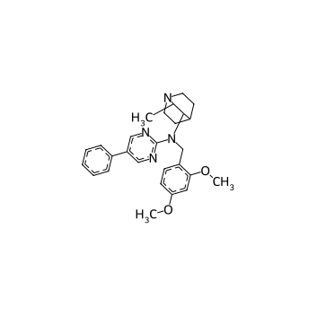 COc1ccc(CN(c2ncc(-c3ccccc3)cn2)C2C3CCN(CC3)C2C)c(OC)c1